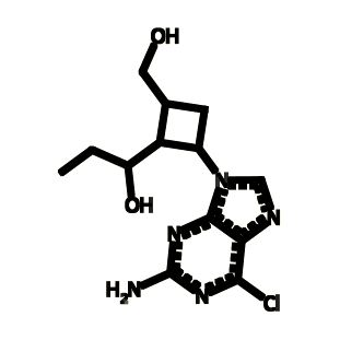 CCC(O)C1C(CO)CC1n1cnc2c(Cl)nc(N)nc21